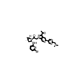 CC(=O)c1nn(CC(=O)N2[C@H](Bc3cccc(Br)n3)C[C@@]3(C)C[C@@H]23)c2cnc(-c3cnc(CN(C)C)nc3)cc12